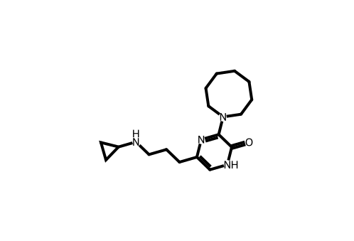 O=c1[nH]cc(CCCNC2CC2)nc1N1CCCCCCC1